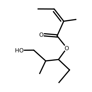 CC=C(C)C(=O)OC(CC)C(C)CO